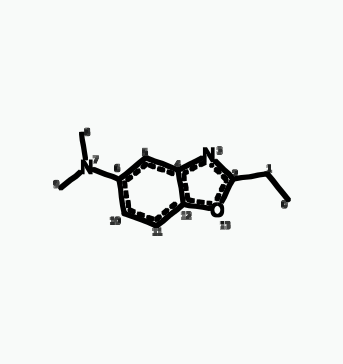 CCc1nc2cc(N(C)C)ccc2o1